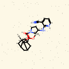 COC(=O)C12CC3CC(C1)C(OC(=O)N1CCC(Nc4ncccc4C#N)C1)[C@H](C3)C2